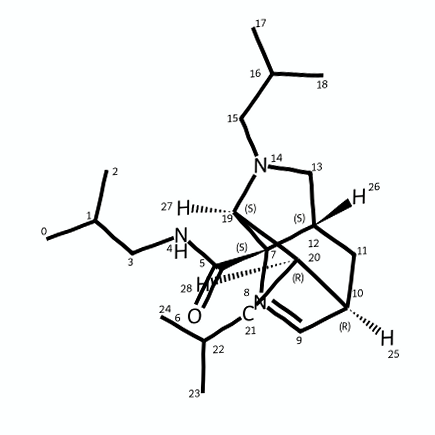 CC(C)CNC(=O)[C@]12N=C[C@@H]3C[C@H]1CN(CC(C)C)[C@H]2[C@@H]3CC(C)C